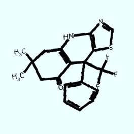 CC1(C)CC(=O)C2=C(C1)Nc1ncsc1C2(c1ccccc1)C(F)(F)F